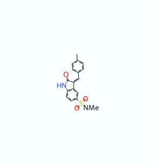 CNS(=O)(=O)c1ccc2c(c1)C(=Cc1ccc(C)cc1)C(=O)N2